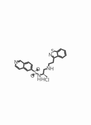 C[C@H](CNCCc1nsc2ccccc12)NS(=O)(=O)c1ccc2cnccc2c1.Cl